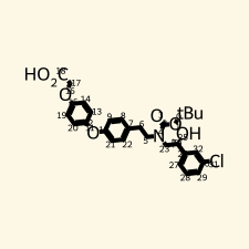 CC(C)(C)OC(=O)N(CCc1ccc(Oc2ccc(OCC(=O)O)cc2)cc1)C[C@H](O)c1cccc(Cl)c1